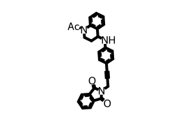 CC(=O)N1CCC(Nc2ccc(C#CCN3C(=O)c4ccccc4C3=O)cc2)c2ccccc21